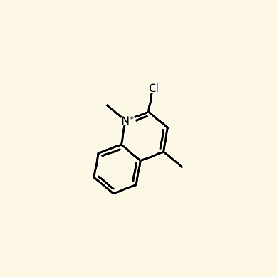 Cc1cc(Cl)[n+](C)c2ccccc12